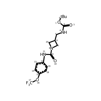 CC(C)(C)OC(=O)NCC1CN(C(=O)Nc2ccc(OC(F)(F)F)cc2)C1